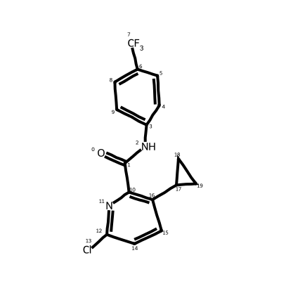 O=C(Nc1ccc(C(F)(F)F)cc1)c1nc(Cl)ccc1C1CC1